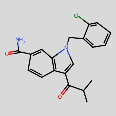 CC(C)C(=O)c1cn(Cc2ccccc2Cl)c2cc(C(N)=O)ccc12